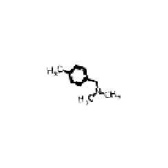 Cc1[c]cc(CN(C)C)cc1